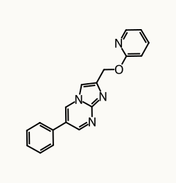 c1ccc(-c2cnc3nc(COc4ccccn4)cn3c2)cc1